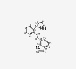 c1ccc(C2=NCCN2)c(CCc2cccc3ccoc23)c1